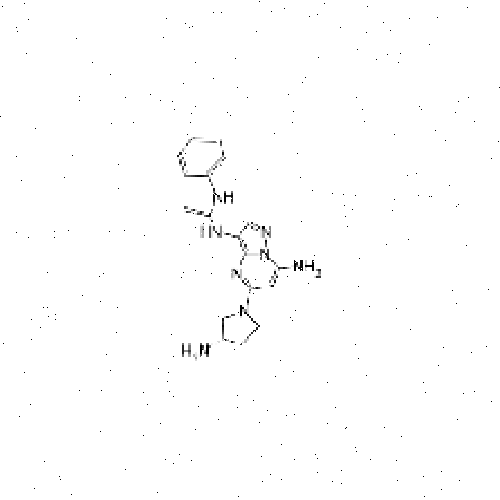 C=C(Nc1ccccc1)Nc1cnn2c(N)cc(N3CC[C@H](N)C3)nc12